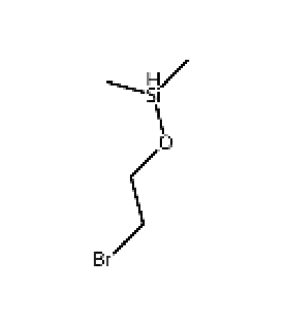 C[SiH](C)OCCBr